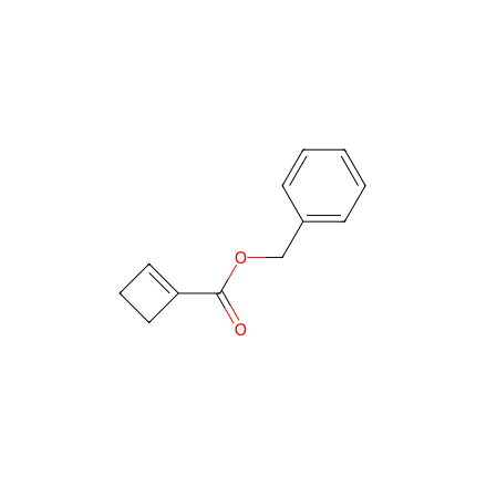 O=C(OCc1ccccc1)C1=CCC1